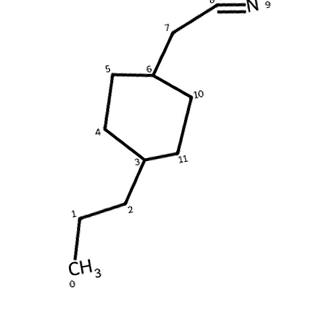 CCCC1CCC(CC#N)CC1